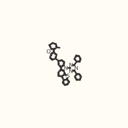 Cc1cccc2oc3ccc(-c4ccc5c(c4)c4ccc6c7ccccc7sc6c4n5-c4nc(-c5ccccc5)nc(-c5ccccc5)n4)cc3c12